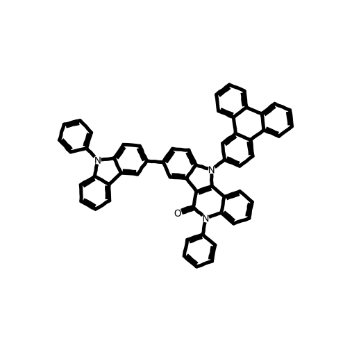 O=c1c2c3cc(-c4ccc5c(c4)c4ccccc4n5-c4ccccc4)ccc3n(-c3ccc4c5ccccc5c5ccccc5c4c3)c2c2ccccc2n1-c1ccccc1